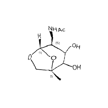 CC(=O)N[C@H]1C(O)C(O)[C@]2(C)CO[C@H]1O2